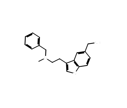 CN(CCc1c[nH]c2ccc(CN)cc12)Cc1ccccc1